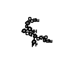 CC(C)(C)OC(=O)N1CC[C@H](Oc2ccc(C(=O)Nc3ccc(O[C@H]4CCN(C(=O)OC(C)(C)C)C4)c(-c4ccccc4C(F)(F)F)c3)cc2-c2ccc(F)c(F)c2)C1